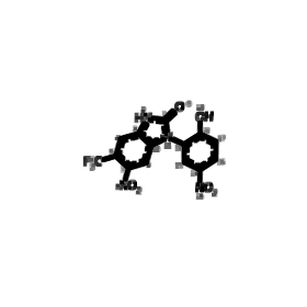 O=c1[nH]c2cc(C(F)(F)F)c([N+](=O)[O-])cc2n1-c1cc([N+](=O)[O-])ccc1O